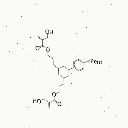 C=C(CO)C(=O)OCCCC1CC(CCCOC(=O)C(=C)CO)CC(c2ccc(CCCCC)cc2)C1